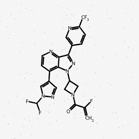 C=C(F)C(=O)N1CC(n2nc(-c3ccc(C(F)(F)F)nc3)c3nccc(-c4cnn(C(F)F)c4)c32)C1